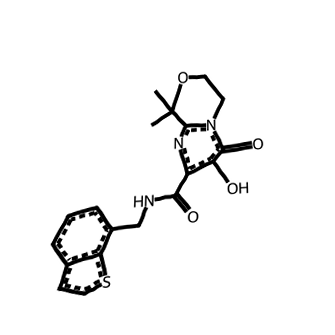 CC1(C)OCCn2c1nc(C(=O)NCc1cccc3ccsc13)c(O)c2=O